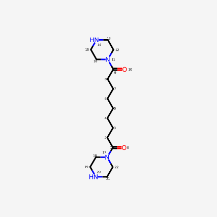 O=C(CCCCCCCC(=O)N1CCNCC1)N1CCNCC1